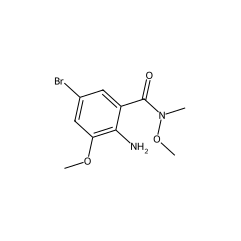 COc1cc(Br)cc(C(=O)N(C)OC)c1N